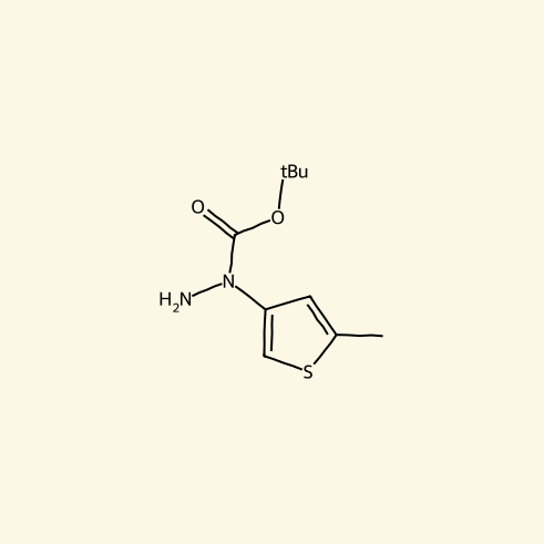 Cc1cc(N(N)C(=O)OC(C)(C)C)cs1